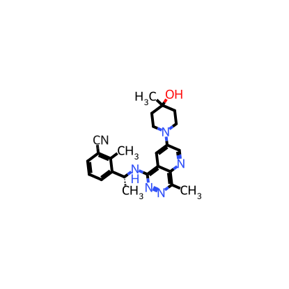 Cc1c(C#N)cccc1[C@@H](C)Nc1nnc(C)c2ncc(N3CCC(C)(O)CC3)cc12